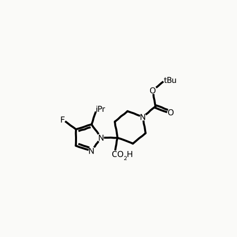 CC(C)c1c(F)cnn1C1(C(=O)O)CCN(C(=O)OC(C)(C)C)CC1